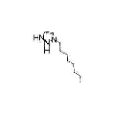 CCCCCCCCN1C=CNN1